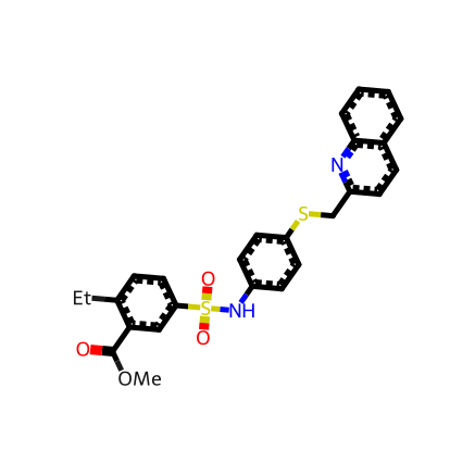 CCc1ccc(S(=O)(=O)Nc2ccc(SCc3ccc4ccccc4n3)cc2)cc1C(=O)OC